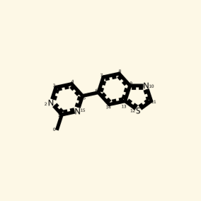 Cc1nccc(-c2ccc3ncsc3c2)n1